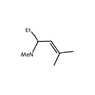 CCC(C=C(C)C)NC